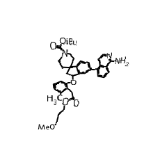 COCCCOC(=O)Cc1c(C)cccc1OC1CC2(CCN(C(=O)OCC(C)C)CC2)c2ccc(-c3cccc4c(N)nccc34)cc21